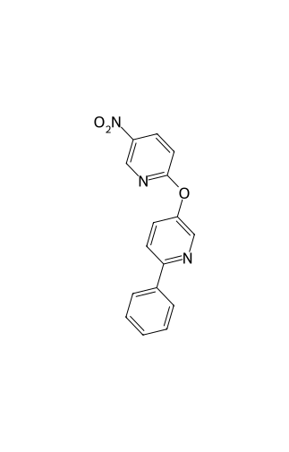 O=[N+]([O-])c1ccc(Oc2ccc(-c3ccccc3)nc2)nc1